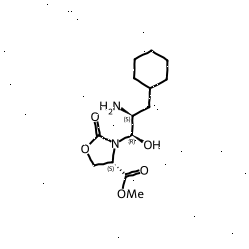 COC(=O)[C@@H]1COC(=O)N1[C@H](O)[C@@H](N)CC1CCCCC1